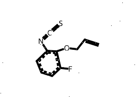 C=CCOc1c(F)cccc1N=C=S